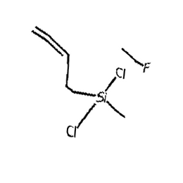 C=CC[Si](C)(Cl)Cl.CF